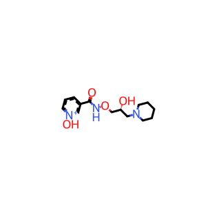 O=C(NOC[C@H](O)CN1CCCCC1)c1ccc[n+](O)c1